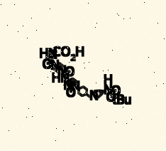 CC(C)(C)OC(=O)NC1C2CN(CC3CCC(n4ccc(NC(=O)N5CCN(C(=O)C(C)(C)NC(=O)O)CC5)nc4=O)CC3)CC21